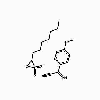 CCCCCCCC1OS1(=O)=O.COc1ccc(C(=N)C#N)cc1